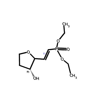 CCOP(=O)(/C=C/C1OCC[C@H]1O)OCC